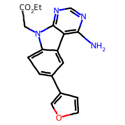 CCOC(=O)Cn1c2ccc(-c3ccoc3)cc2c2c(N)ncnc21